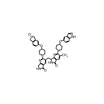 Cc1cc2c(nc1N1CCC(Oc3ccc4[nH]ncc4c3)CC1)C(Cc1cc3c(nc1N1CCC(Oc4ccc5c(c4)C[S+]([O-])C5)CC1)CNC3=O)NC2=O